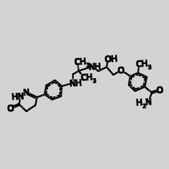 Cc1cc(C(N)=O)ccc1OCC(O)CNC(C)(C)CNc1ccc(C2=NNC(=O)CC2)cc1